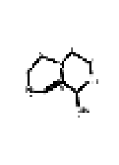 CC(C)(C)C1OCCN2CCNC=C12